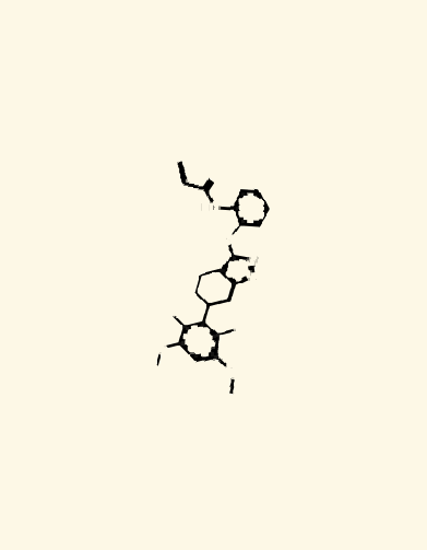 C=CC(=O)Nc1ccccc1Nc1[nH]nc2c1CCC(c1c(Cl)c(OC)cc(OC)c1Cl)C2